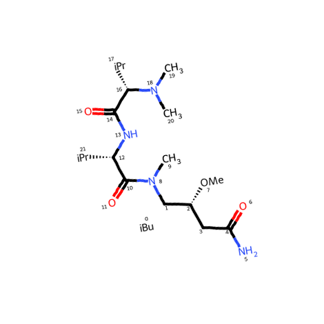 CC[C@H](C)C([C@@H](CC(N)=O)OC)N(C)C(=O)[C@@H](NC(=O)[C@H](C(C)C)N(C)C)C(C)C